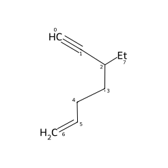 C#CC([CH]CC=C)CC